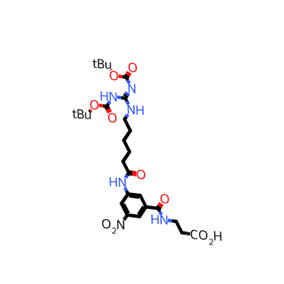 CC(C)(C)OC(=O)N=C(NCCCCCC(=O)Nc1cc(C(=O)NCCC(=O)O)cc([N+](=O)[O-])c1)NC(=O)OC(C)(C)C